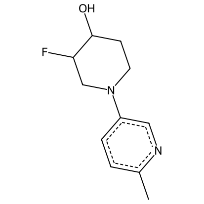 Cc1ccc(N2CCC(O)C(F)C2)cn1